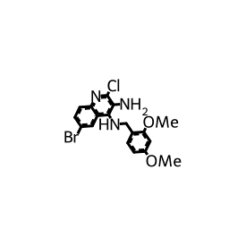 COc1ccc(CNc2c(N)c(Cl)nc3ccc(Br)cc23)c(OC)c1